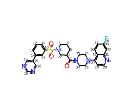 O=C(C1CCCN(S(=O)(=O)c2cccc(-c3cncnc3)c2)C1)N1CCN(c2ccnc3cc(F)ccc23)CC1